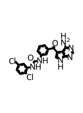 Nc1ncnc2[nH]cc(C(=O)c3cccc(NC(=O)Nc4cc(Cl)ccc4Cl)c3)c12